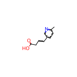 Cc1ccc(C=CCC(=O)O)cn1